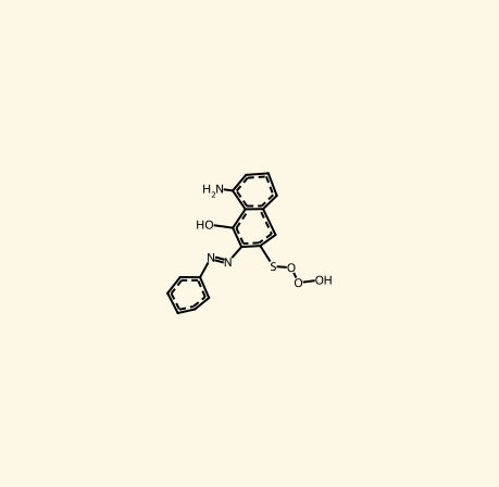 Nc1cccc2cc(SOOO)c(N=Nc3ccccc3)c(O)c12